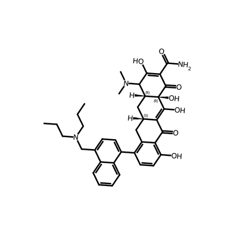 CCCN(CCC)Cc1ccc(-c2ccc(O)c3c2C[C@@H]2C[C@@H]4C(N(C)C)C(O)=C(C(N)=O)C(=O)[C@]4(O)C(O)=C2C3=O)c2ccccc12